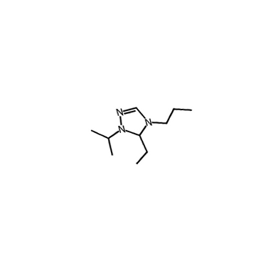 CCCN1C=NN(C(C)C)C1CC